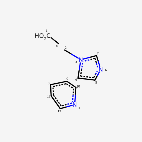 CC(=O)O.Cn1ccnc1.c1ccncc1